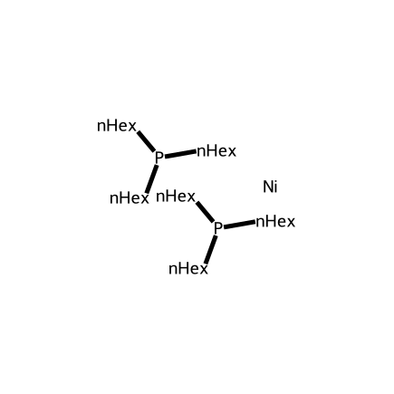 CCCCCCP(CCCCCC)CCCCCC.CCCCCCP(CCCCCC)CCCCCC.[Ni]